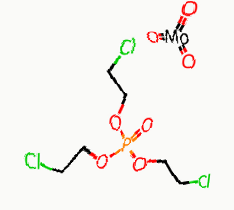 O=P(OCCCl)(OCCCl)OCCCl.[O]=[Mo](=[O])=[O]